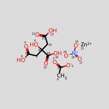 CC(=O)[O-].O=C(O)CC(O)(CC(=O)O)C(=O)O.O=[N+]([O-])[O-].[Zn+2]